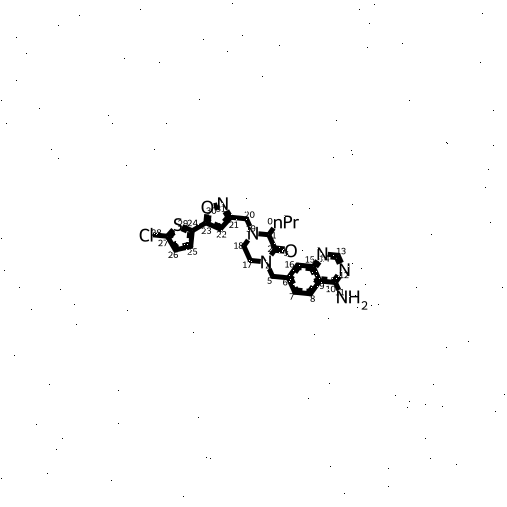 CCCC1C(=O)N(Cc2ccc3c(N)ncnc3c2)CCN1Cc1cc(-c2ccc(Cl)s2)on1